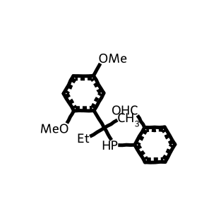 CCC(C)(Pc1ccccc1C=O)c1cc(OC)ccc1OC